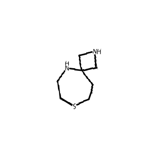 C1CSCCC2(CNC2)N1